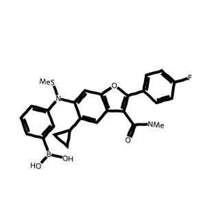 CNC(=O)c1c(-c2ccc(F)cc2)oc2cc(N(SC)c3cccc(B(O)O)c3)c(C3CC3)cc12